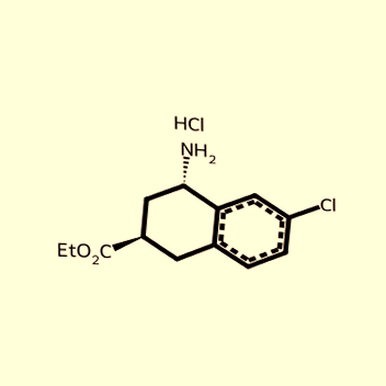 CCOC(=O)[C@@H]1Cc2ccc(Cl)cc2[C@@H](N)C1.Cl